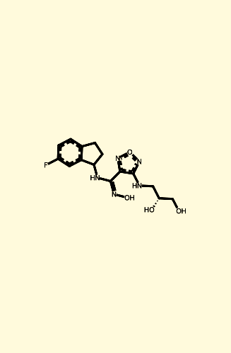 OC[C@H](O)CNc1nonc1/C(=N\O)NC1CCc2ccc(F)cc21